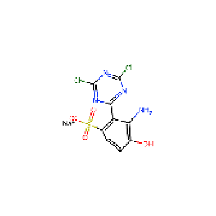 Nc1c(O)ccc(S(=O)(=O)[O-])c1-c1nc(Cl)nc(Cl)n1.[Na+]